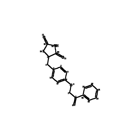 C=C(COc1ccc(CC2SC(=O)NC2=O)cc1)c1ccccc1